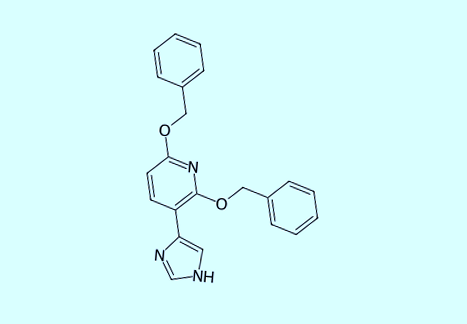 c1ccc(COc2ccc(-c3c[nH]cn3)c(OCc3ccccc3)n2)cc1